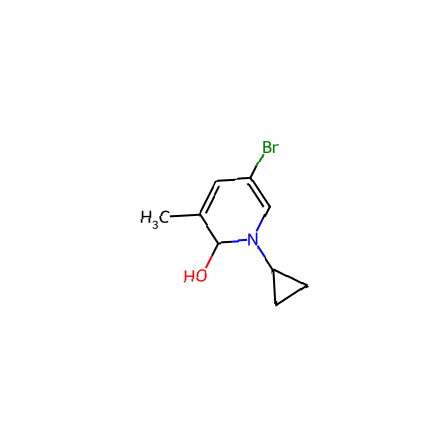 CC1=CC(Br)=CN(C2CC2)C1O